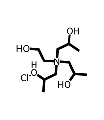 CC(O)C[N+](CCO)(CC(C)O)CC(C)O.[Cl-]